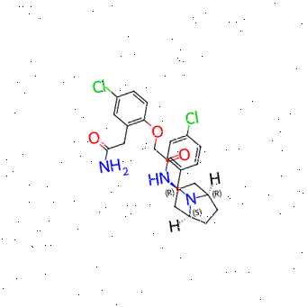 NC(=O)Cc1cc(Cl)ccc1OCC(=O)N[C@H]1C[C@H]2CC[C@@H](C1)N2Cc1ccc(Cl)cc1